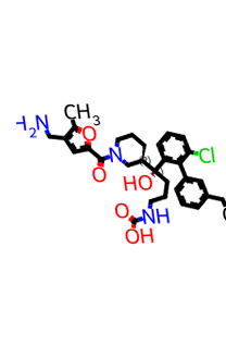 CCc1cccc(-c2c(Cl)cccc2[C@](O)(CCCNC(=O)O)[C@@H]2CCCN(C(=O)c3cc(CN)c(C)o3)C2)c1